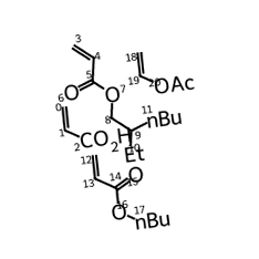 C=CC(=O)O.C=CC(=O)OCC(CC)CCCC.C=CC(=O)OCCCC.C=COC(C)=O